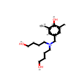 Cc1cc(CN(CCCCO)CCCCO)cc(C(C)(C)C)c1O